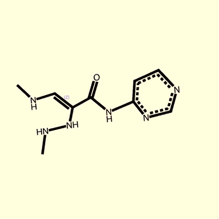 CN/C=C(\NNC)C(=O)Nc1ccncn1